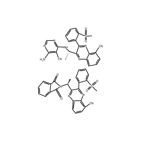 C[C@@H](c1nc2cccc(C#N)c2nc1-c1ccccc1S(C)(=O)=O)N1C(=O)c2ccccc2C1=O.C[C@H](Nc1ncnc(N)c1C#N)c1nc2cccc(C#N)c2nc1-c1ccccc1S(C)(=O)=O